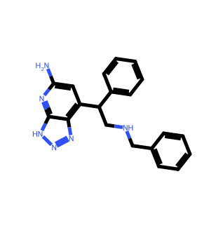 Nc1cc(C(CNCc2ccccc2)c2ccccc2)c2nn[nH]c2n1